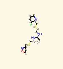 O=[N+]([O-])/C=C(\NCCSCc1ccon1)NCCSCc1ncccc1Cl